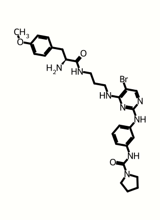 COc1ccc(C[C@H](N)C(=O)NCCCNc2nc(Nc3cccc(NC(=O)N4CCCC4)c3)ncc2Br)cc1